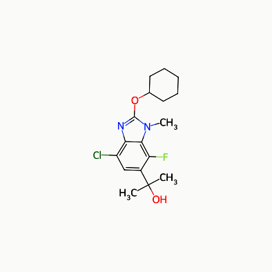 Cn1c(OC2CCCCC2)nc2c(Cl)cc(C(C)(C)O)c(F)c21